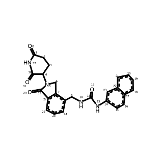 O=C1CCC(N2Cc3c(CNC(=O)Nc4ccc5ccccc5c4)cccc3C2=O)C(=O)N1